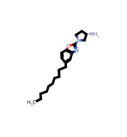 CCCCCCCCCCc1ccc2oc(N3CC[C@H](N)C3)nc2c1